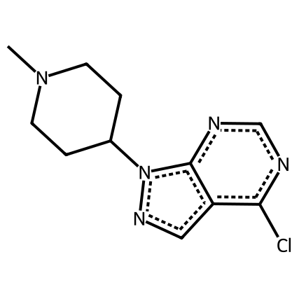 CN1CCC(n2ncc3c(Cl)ncnc32)CC1